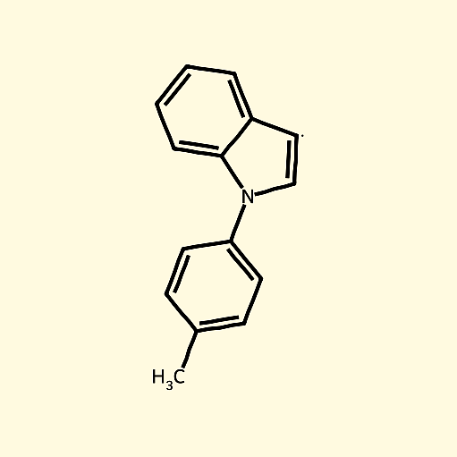 Cc1ccc(-n2c[c]c3ccccc32)cc1